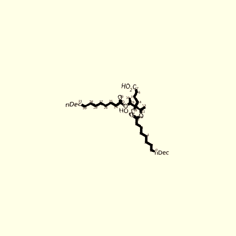 CCCCCCCCCCCCCCCCCC(=O)OC(C)C(CCCC(=O)O)(C(=O)O)C(C)OC(=O)CCCCCCCCCCCCCCCCC